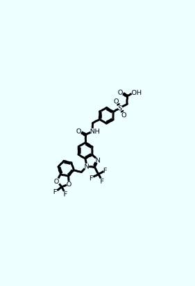 O=C(O)CS(=O)(=O)c1ccc(CNC(=O)c2ccc3c(c2)nc(C(F)(F)F)n3Cc2cccc3c2OC(F)(F)O3)cc1